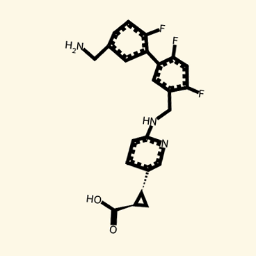 NCc1ccc(F)c(-c2cc(CNc3ccc([C@@H]4C[C@H]4C(=O)O)cn3)c(F)cc2F)c1